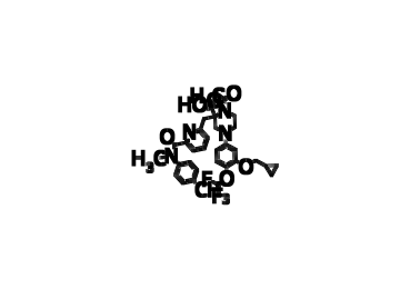 CC(=O)N1CCN(c2ccc(OC(F)F)c(OCC3CC3)c2)CC1(Cc1cccc(C(=O)N(C)c2ccc(C)cc2)n1)C(=O)O